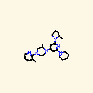 Cc1cccnc1N1CCN(c2cc(N3CCCCC3)nc(N3CCCC3C)c2)C(C)C1